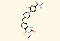 CCn1c(=O)[nH]c2cc(C=C3CCN(c4ccc(C(=O)NC)nc4F)CC3)ccc2c1=S